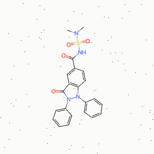 CN(C)S(=O)(=O)NC(=O)c1ccc2c(c1)c(=O)n(-c1ccccc1)n2-c1ccccc1